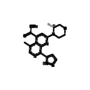 COC(=O)c1cc(N2CCOC[C@H]2C)nc2c(-c3ccn[nH]3)ncc(C)c12